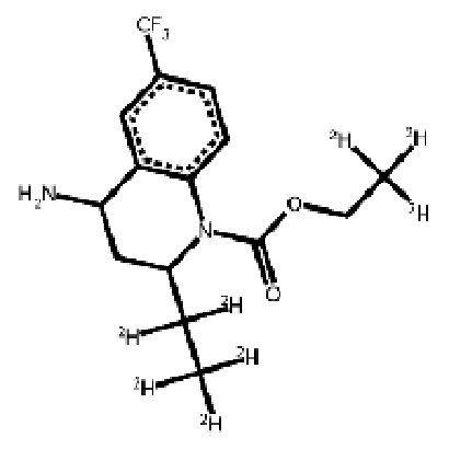 [2H]C([2H])([2H])COC(=O)N1c2ccc(C(F)(F)F)cc2C(N)CC1C([2H])([2H])C([2H])([2H])[2H]